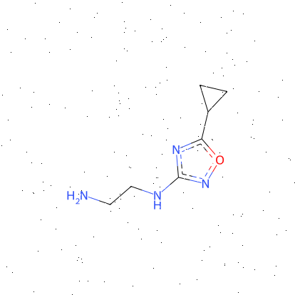 NCCNc1noc(C2CC2)n1